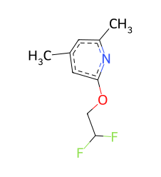 Cc1cc(C)nc(OCC(F)F)c1